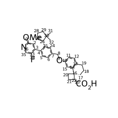 COc1cc(-c2ccc(COc3ccc4c(c3)[C@]3(CCC4)CC[C@@H]3C(=O)O)cc2[C@@H]2CCCC2(C)C)c(F)cn1